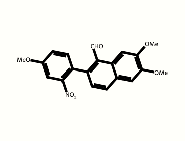 COc1ccc(-c2ccc3cc(OC)c(OC)cc3c2C=O)c([N+](=O)[O-])c1